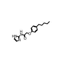 CCCCCc1ccc(OCC(=O)Nc2ncc[nH]2)cc1